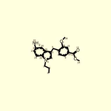 CCCn1cc(Cc2ccc(C(=O)OC)cc2OC)c2cc(N)ccc21